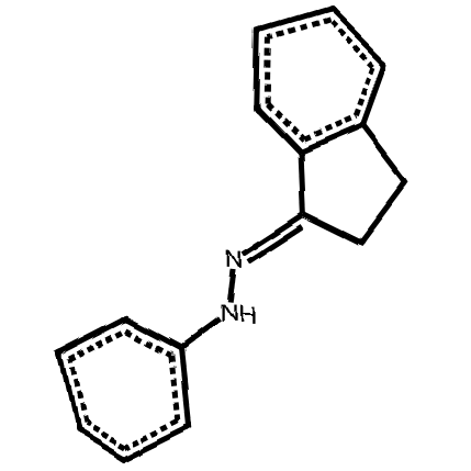 c1ccc(N/N=C2\CCc3ccccc32)cc1